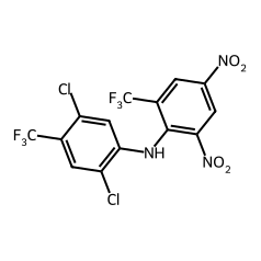 O=[N+]([O-])c1cc([N+](=O)[O-])c(Nc2cc(Cl)c(C(F)(F)F)cc2Cl)c(C(F)(F)F)c1